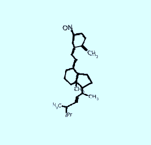 C=C1CCC(N=O)C/C1=C/C=C1\CCCC2(C)C1CCC2C(C)/C=C/C(C)C(C)C